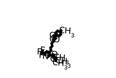 Cc1ccc(S(=O)(=O)OCCCCCc2cc(C(F)(F)F)ncc2C(=O)OC(C)(C)C)cc1